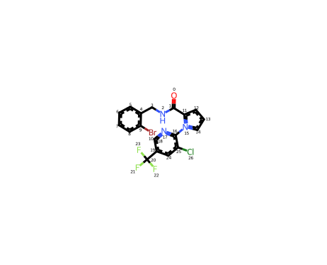 O=C(NCc1ccccc1Br)c1cccn1-c1ncc(C(F)(F)F)cc1Cl